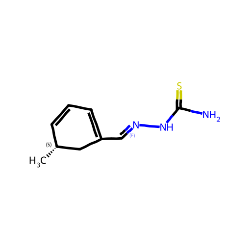 C[C@@H]1C=CC=C(/C=N/NC(N)=S)C1